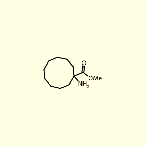 COC(=O)C1(N)CCCCCCCCC1